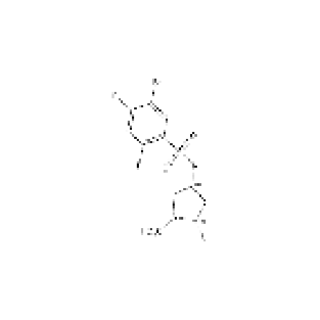 C[C@H]1C[C@@H](NS(=O)(=O)c2cc(Br)c(F)cc2F)CN1C(=O)O